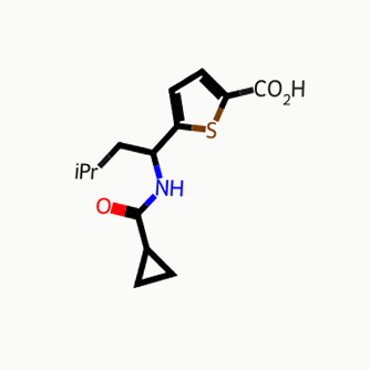 CC(C)CC(NC(=O)C1CC1)c1ccc(C(=O)O)s1